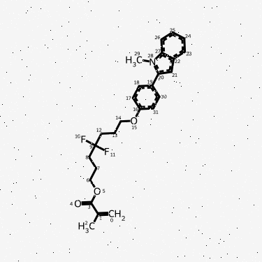 C=C(C)C(=O)OCCCC(F)(F)CCCOc1ccc(-c2cc3ccccc3n2C)cc1